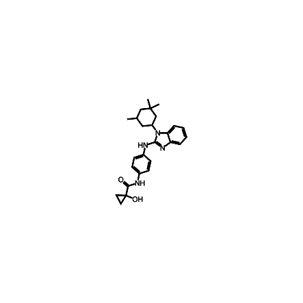 CC1CC(n2c(Nc3ccc(NC(=O)C4(O)CC4)cc3)nc3ccccc32)CC(C)(C)C1